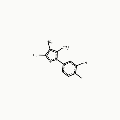 Cc1nn(-c2ccc(F)c(C#N)c2)c(C(=O)O)c1[N+](=O)[O-]